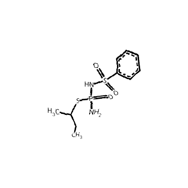 CCC(C)SP(N)(=O)NS(=O)(=O)c1ccccc1